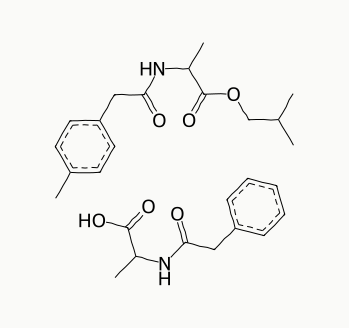 CC(NC(=O)Cc1ccccc1)C(=O)O.Cc1ccc(CC(=O)NC(C)C(=O)OCC(C)C)cc1